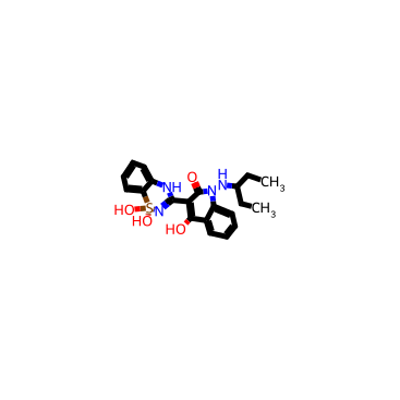 CCC(CC)Nn1c(=O)c(C2=NS(O)(O)c3ccccc3N2)c(O)c2ccccc21